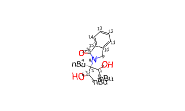 CCCCC(O)C(CCCC)(C(O)CCCC)N1Cc2ccccc2C1=O